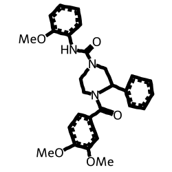 COc1ccccc1NC(=O)N1CCN(C(=O)c2ccc(OC)c(OC)c2)C(c2ccccc2)C1